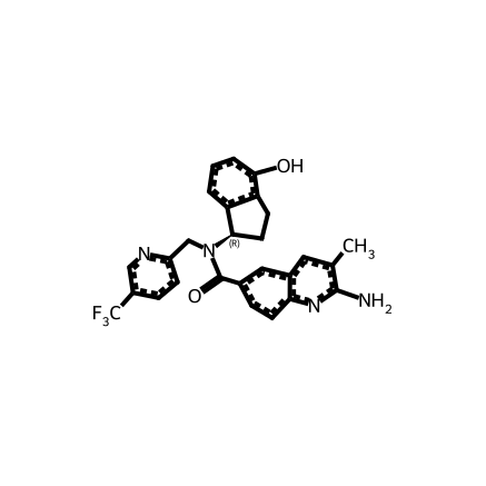 Cc1cc2cc(C(=O)N(Cc3ccc(C(F)(F)F)cn3)[C@@H]3CCc4c(O)cccc43)ccc2nc1N